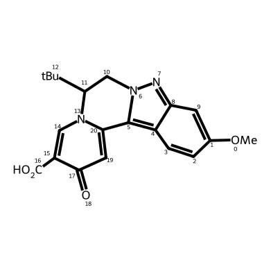 COc1ccc2c3n(nc2c1)CC(C(C)(C)C)n1cc(C(=O)O)c(=O)cc1-3